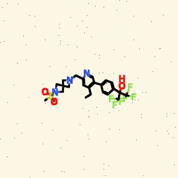 CCc1cc(CN2CC3(C2)CN(S(C)(=O)=O)C3)ncc1-c1ccc(C(O)(C(F)(F)F)C(F)(F)F)cc1